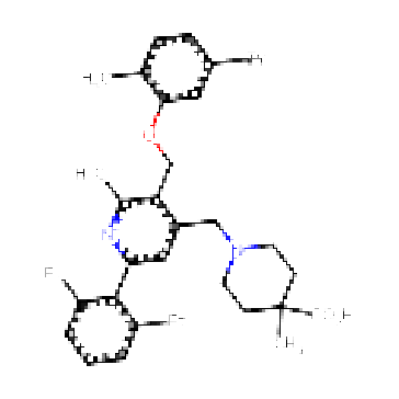 CCc1cccc(CC)c1-c1cc(CN2CCC(C)(C(=O)O)CC2)c(COc2cc(C(C)C)ccc2C)c(C)n1